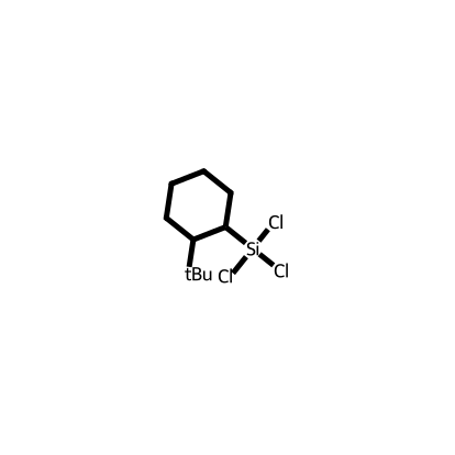 CC(C)(C)C1CCCCC1[Si](Cl)(Cl)Cl